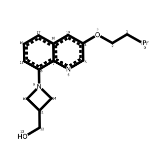 CC(C)CCOc1cnc2c(N3CC(CO)C3)cccc2c1